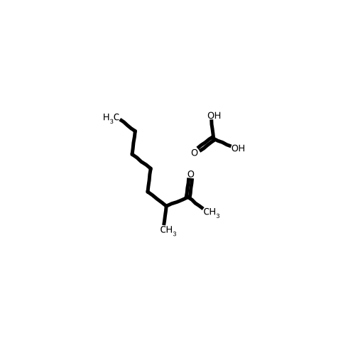 CCCCCC(C)C(C)=O.O=C(O)O